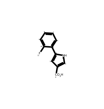 O=C(O)c1c[nH]c(-c2ccccc2F)c1